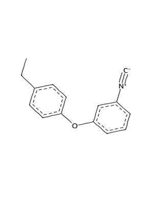 [C-]#[N+]c1cccc(Oc2ccc(CC)cc2)c1